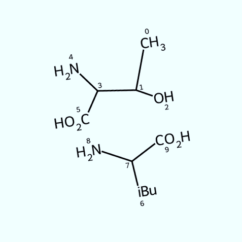 CC(O)C(N)C(=O)O.CCC(C)C(N)C(=O)O